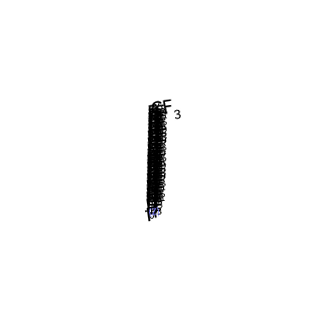 F/[C]=C(\F)C(F)(F)C(F)(F)C(F)(F)C(F)(F)C(F)(F)C(F)(F)C(F)(F)C(F)(F)C(F)(F)C(F)(F)C(F)(F)C(F)(F)C(F)(F)C(F)(F)C(F)(F)C(F)(F)C(F)(F)C(F)(F)C(F)(F)C(F)(F)C(F)(F)C(F)(F)C(F)(F)C(F)(F)C(F)(F)C(F)(F)C(F)(F)C(F)(F)F